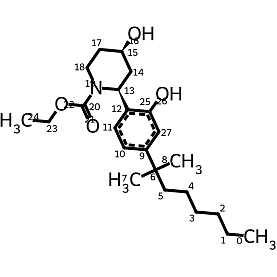 CCCCCCC(C)(C)c1ccc([C@@H]2C[C@H](O)CCN2C(=O)OCC)c(O)c1